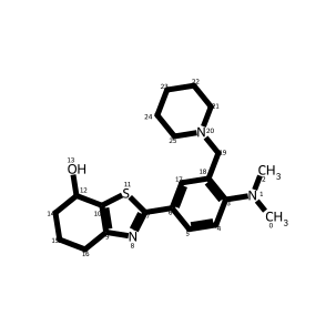 CN(C)c1ccc(-c2nc3c(s2)C(O)CCC3)cc1CN1CCCCC1